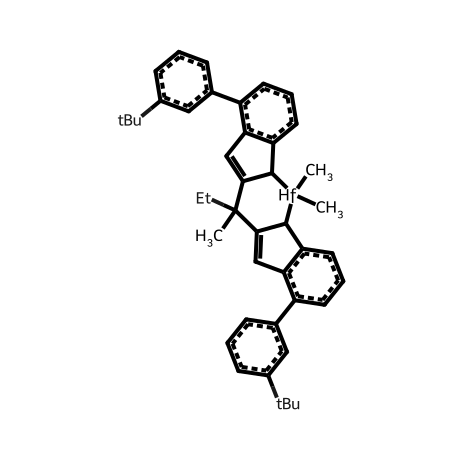 CCC1(C)C2=Cc3c(-c4cccc(C(C)(C)C)c4)cccc3[CH]2[Hf]([CH3])([CH3])[CH]2C1=Cc1c(-c3cccc(C(C)(C)C)c3)cccc12